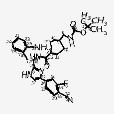 CC(C)(C)OC(=O)NCC1CCC(C(=O)N[C@@H](Cc2ccccc2N)c2nc(-c3ccc(C#N)c(F)c3)c[nH]2)CC1